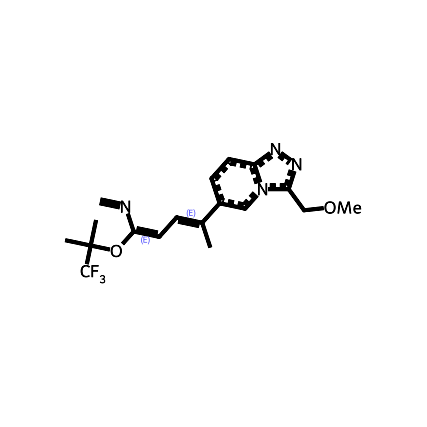 C=N/C(=C\C=C(/C)c1ccc2nnc(COC)n2c1)OC(C)(C)C(F)(F)F